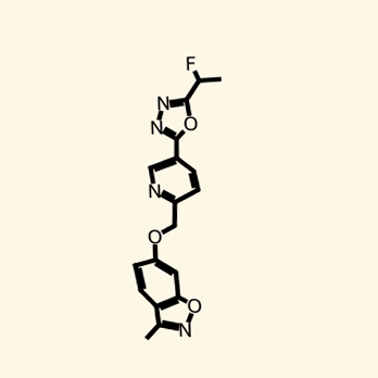 Cc1noc2cc(OCc3ccc(-c4nnc(C(C)F)o4)cn3)ccc12